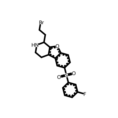 O=S(=O)(c1cccc(F)c1)c1ccc2oc3c(c2c1)CCNC3CCBr